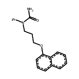 CC(C)N(CCCOc1cccc2ccccc12)C(N)=O